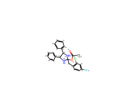 O=C(OC1(Cc2ccc(F)cc2Cl)NC(c2ccccc2)C(c2ccccc2)N1)C(F)(F)F